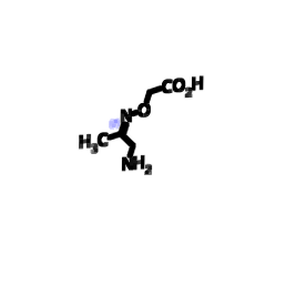 C/C(CN)=N/OCC(=O)O